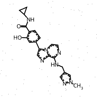 Cn1cc(CNc2nccn3c(-c4ccc(C(=O)NC5CC5)c(O)c4)cnc23)cn1